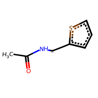 CC(=O)N[C]c1cccs1